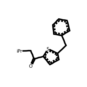 CC(C)CC(=O)c1ccc(Cc2ccccc2)s1